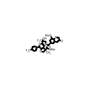 CNC(=O)[C@@]1(C)COc2c1cc(C(O)(CNC(=O)c1cc(OC)c3ncc(Cl)cc3c1)C(F)(F)F)nc2-c1ccc(C(F)(F)F)cc1